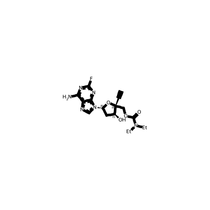 C#C[C@]1(COC(=O)N(CC)CC)O[C@@H](n2cnc3c(N)nc(F)nc32)C[C@@H]1O